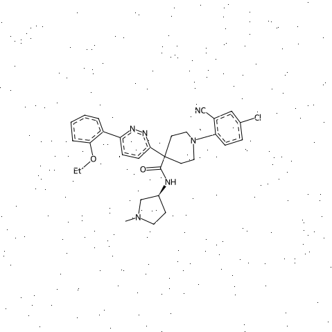 CCOc1ccccc1-c1ccc(C2(C(=O)N[C@H]3CCN(C)C3)CCN(c3ccc(Cl)cc3C#N)CC2)nn1